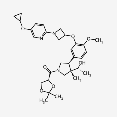 COc1ccc([C@@H]2CN(C(=O)[C@@H]3COC(C)(C)O3)C[C@@]2(C)[C@@H](C)O)cc1OC1CN(c2ccc(OC3CC3)cn2)C1